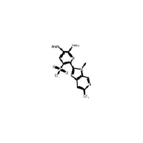 CCS(=O)(=O)c1cc(NC)c(NC)nc1-c1nc2cc(C(F)(F)F)ncc2n1C